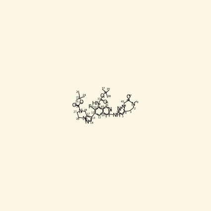 CN1CCc2cc(Nc3cc4cc(-c5cnn6c5CN(C(=O)OC(C)(C)C)CC6)c(F)c(NC(=O)OC(C)(C)C)c4cn3)nn2CC1=O